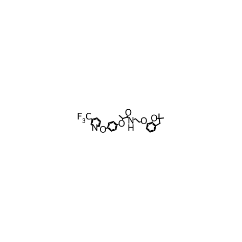 CC(Oc1ccc(Oc2ccc(C(F)(F)F)cn2)cc1)C(=O)NCCOc1cccc2c1OC(C)(C)C2